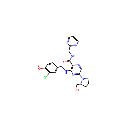 COc1ccc(CNc2nc(N3CCC[C@H]3CO)cnc2C(=O)NCc2ncccn2)cc1Cl